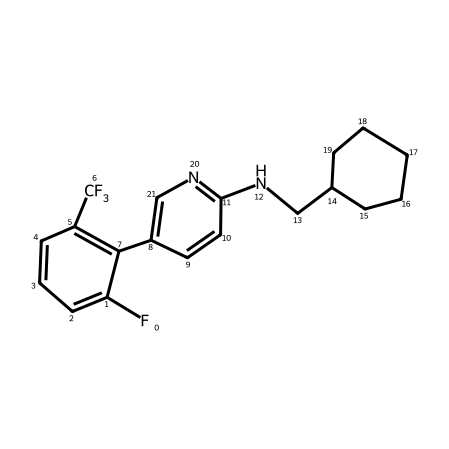 Fc1cccc(C(F)(F)F)c1-c1ccc(NCC2CCCCC2)nc1